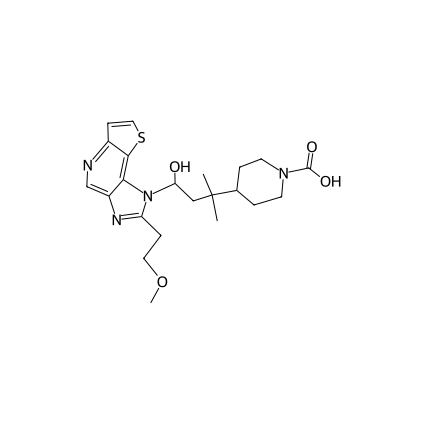 COCCc1nc2cnc3ccsc3c2n1C(O)CC(C)(C)C1CCN(C(=O)O)CC1